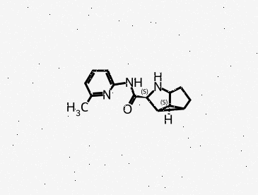 Cc1cccc(NC(=O)[C@H]2NC3CCC4C2[C@@H]34)n1